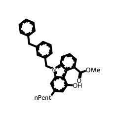 CCCCCc1cc(O)c2c3c(C(=O)OC)cccc3n(Cc3cccc(Cc4ccccc4)c3)c2c1